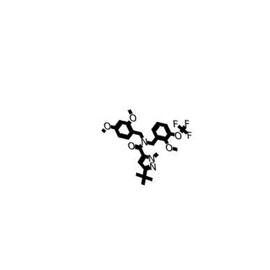 COc1ccc(CN(Cc2cccc(OC(F)(F)F)c2OC)C(=O)c2cc(C(C)(C)C)nn2C)c(OC)c1